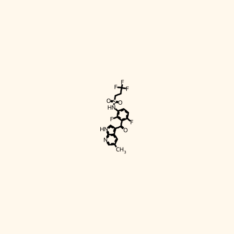 Cc1cnc2[nH]cc(C(=O)c3c(F)ccc(NS(=O)(=O)CCC(F)(F)F)c3F)c2c1